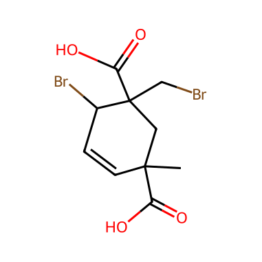 CC1(C(=O)O)C=CC(Br)C(CBr)(C(=O)O)C1